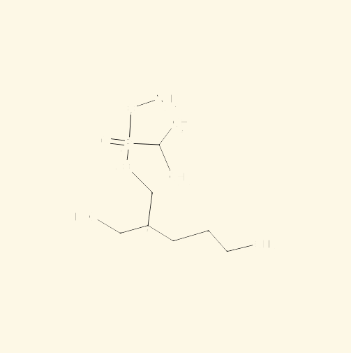 CCCCC(CC)COP(=O)(ON)C(C)C